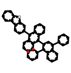 c1ccc(-c2cc(-c3c4ccccc4c(-c4ccc5c(c4)oc4ccccc45)c4ccccc34)c(-c3ccccc3)c3ccccc23)cc1